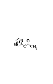 CC(=O)OC1CN2CCN1CC2